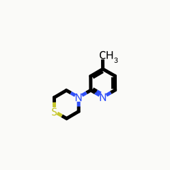 Cc1ccnc(N2CCSCC2)c1